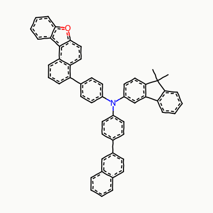 CC1(C)c2ccccc2-c2cc(N(c3ccc(-c4ccc5ccccc5c4)cc3)c3ccc(-c4cccc5c4ccc4oc6ccccc6c45)cc3)ccc21